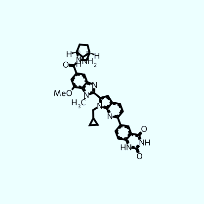 COc1cc(C(=O)N2C[C@H]3CC[C@@H]2[C@@H]3N)cc2nc(-c3cc4ccc(-c5ccc6[nH]c(=O)[nH]c(=O)c6c5)nc4n3CC3CC3)n(C)c12